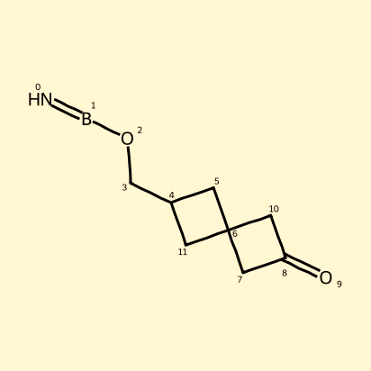 N=BOCC1CC2(CC(=O)C2)C1